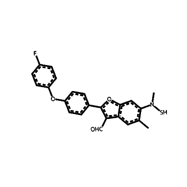 Cc1cc2c(C=O)c(-c3ccc(Oc4ccc(F)cc4)cc3)oc2cc1N(C)S